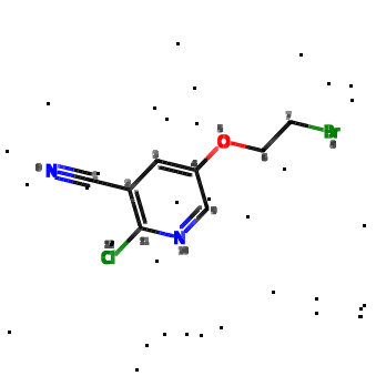 N#Cc1cc(OCCBr)cnc1Cl